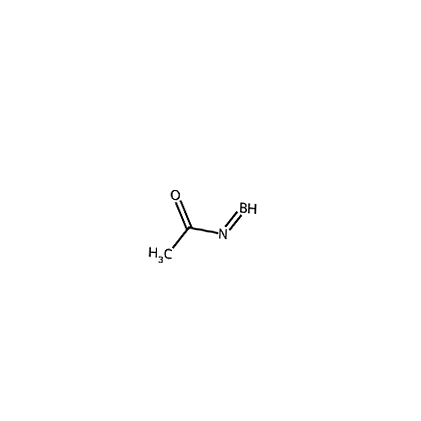 B=NC(C)=O